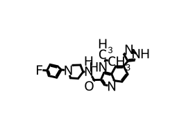 CC(C)Nc1c(C(=O)NC2CCN(c3ccc(F)cc3)CC2)cnc2ccc(-c3cn[nH]c3)cc12